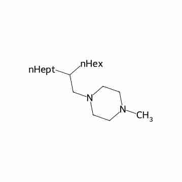 CCCCCCCC(CCCCCC)CN1CCN(C)CC1